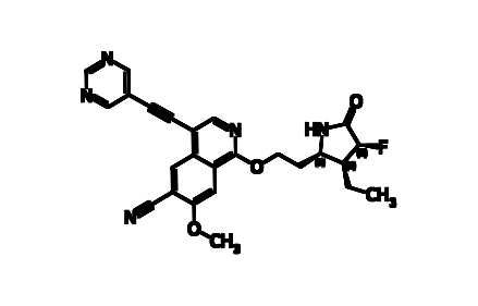 CC[C@@H]1[C@H](F)C(=O)N[C@@H]1CCOc1ncc(C#Cc2cncnc2)c2cc(C#N)c(OC)cc12